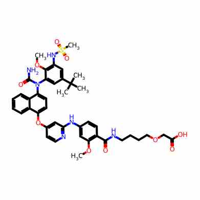 COc1cc(Nc2cc(Oc3ccc(N(C(N)=O)c4cc(C(C)(C)C)cc(NS(C)(=O)=O)c4OC)c4ccccc34)ccn2)ccc1C(=O)NCCCCOCC(=O)O